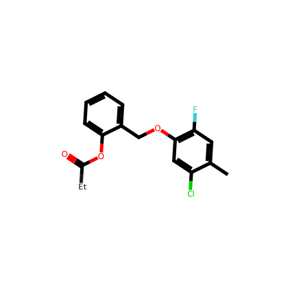 CCC(=O)Oc1ccccc1COc1cc(Cl)c(C)cc1F